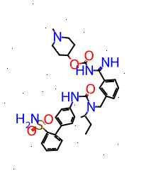 CCC(C)N(Cc1cccc(C(=N)NC(=O)OC2CCN(C)CC2)c1)C(=O)Nc1ccc(-c2ccccc2S(N)(=O)=O)cc1